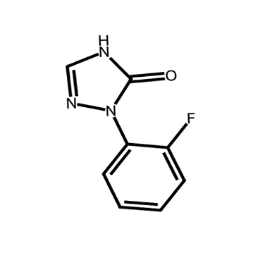 O=c1[nH]cnn1-c1ccccc1F